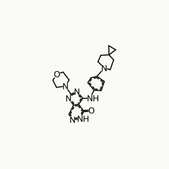 O=c1[nH]ncc2nc(N3CCOCC3)nc(Nc3ccc(N4CCC5(CC4)CC5)cc3)c12